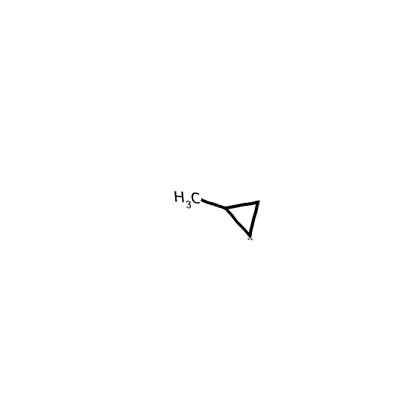 CC1[C]C1